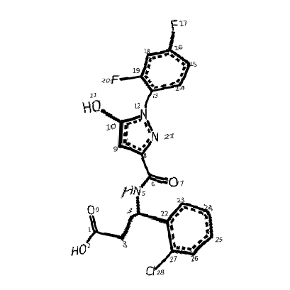 O=C(O)CC(NC(=O)c1cc(O)n(-c2ccc(F)cc2F)n1)c1ccccc1Cl